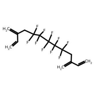 C=CC(=C)CC(F)(F)C(F)(F)C(F)(F)C(F)(F)C(F)(F)CC(=C)C=C